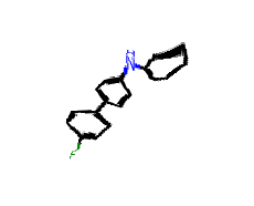 Fc1ccc(-c2ccc(Nc3ccccc3)cc2)cc1